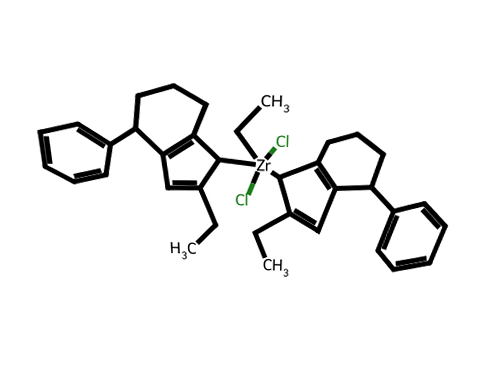 CCC1=CC2=C(CCCC2c2ccccc2)[CH]1[Zr]([Cl])([Cl])([CH2]C)[CH]1C(CC)=CC2=C1CCCC2c1ccccc1